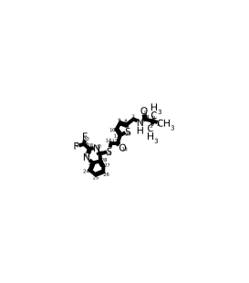 CC(C)(C)C(=O)NCc1ccc(C(=O)CSc2nc(C(F)F)nc3ccccc23)s1